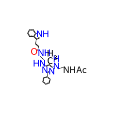 CC(=O)NCCNc1nc(-c2ccccc2)nc(NCCNC(=O)/C=C/c2c[nH]c3ccccc23)c1C